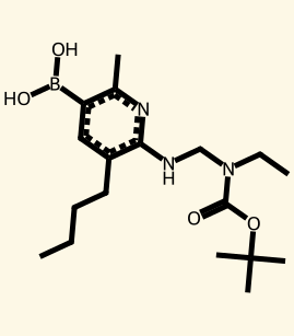 CCCCc1cc(B(O)O)c(C)nc1NCN(CC)C(=O)OC(C)(C)C